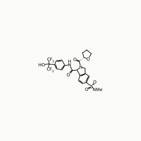 CNS(=O)(=O)c1ccc2c(c1)CN(C(=O)[C@@H]1CCCO1)C2C(=O)Nc1ccc(C(O)(C(F)(F)F)C(F)(F)F)cc1